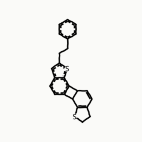 C1=CC2c3c(ccc4cc(CCc5ccccc5)sc34)C2C2=C1CCS2